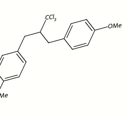 COc1ccc(CC(Cc2ccc(OC)cc2)C(Cl)(Cl)Cl)cc1